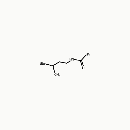 CC(C)C(=O)NCCN(C)C(C)(C)C